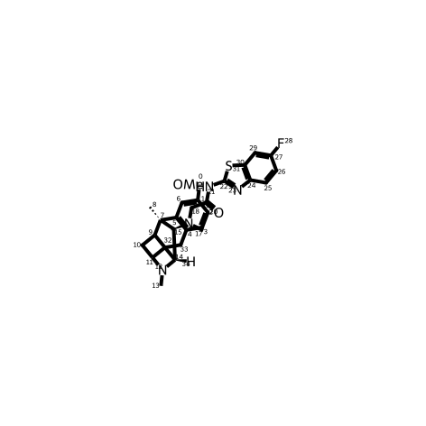 COc1ccc2c(c1)[C@]1(C)C3CC4N(C)[C@@H]([C@@H]1N(C)CC(=O)Nc1nc5ccc(F)cc5s1)C43C2